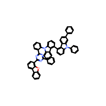 c1ccc(-c2ccc3c4c(-c5cccc6c5c5ccccc5n6-c5ccccc5-c5nc(-c6ccccc6)nc(-c6cccc7c6oc6ccccc67)n5)cccc4n(-c4ccccc4)c3c2)cc1